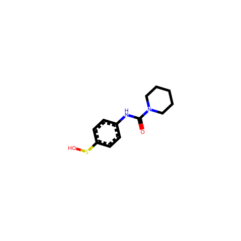 O=C(Nc1ccc(SO)cc1)N1CCCCC1